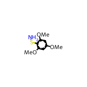 COc1cc(OC)c(SN)c(OC)c1